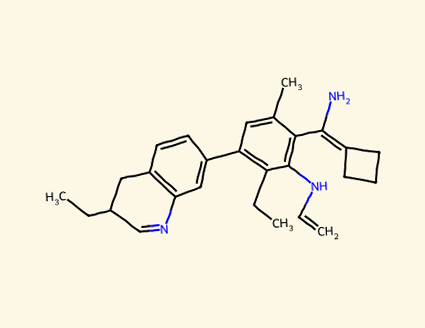 C=CNc1c(CC)c(-c2ccc3c(c2)N=CC(CC)C3)cc(C)c1C(N)=C1CCC1